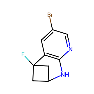 FC12CC(C1)Nc1ncc(Br)cc12